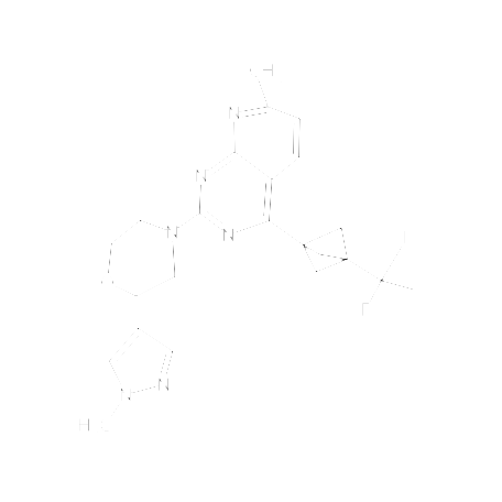 Cc1ccc2c(C34CC(C(F)(F)F)(C3)C4)nc(N3CCO[C@@H](c4cnn(C)c4)C3)nc2n1